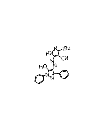 CC(C)(C)c1n[nH]c(/N=N/c2c(-c3ccccc3)nn(-c3ccccc3)c2O)c1C#N